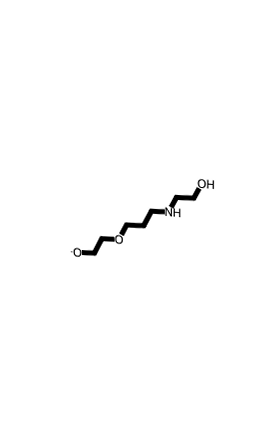 [O]CCOCCCNCCO